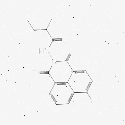 CCC(C)C(=O)NN1C(=O)c2cccc3c(Cl)ccc(c23)C1=O